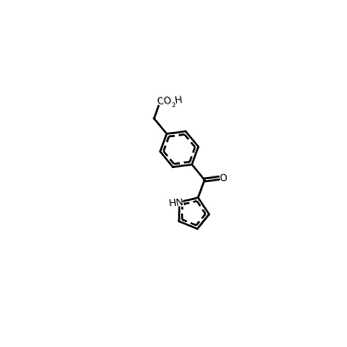 O=C(O)Cc1ccc(C(=O)c2ccc[nH]2)cc1